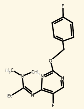 CCC(=Nc1nc(OCc2ccc(F)cc2)ncc1F)N(C)C